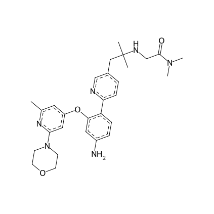 Cc1cc(Oc2cc(N)ccc2-c2ccc(CC(C)(C)NCC(=O)N(C)C)cn2)cc(N2CCOCC2)n1